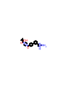 Nc1nc(-c2cccc(-c3ccc(C(=O)N4CCN(C(=O)C5(O)CC5)CC4)cc3)c2)c[nH]1